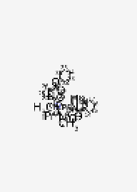 C/C(=C\[C@H](C(C)C)N(C)C(=O)[C@@H](NC(=O)[C@H]1CCCCN1C(C)C)C(C)C)C(=O)N1CCC[C@H]1C(=O)OC1CCCCC1